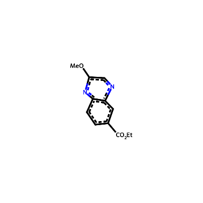 CCOC(=O)c1ccc2nc(OC)cnc2c1